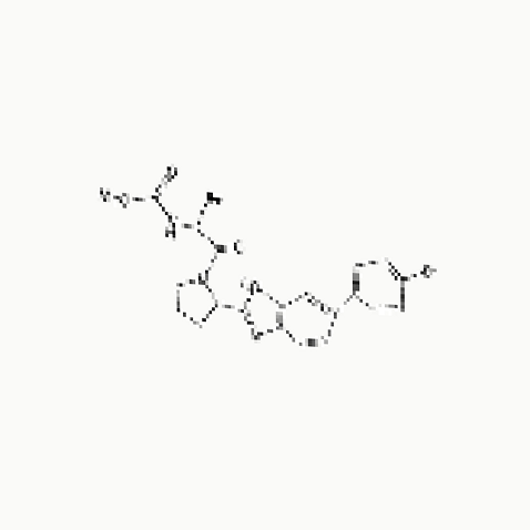 COC(=O)NC(C(=O)N1CCCC1c1nc2ccc(-c3ccc(Br)cc3)cc2[nH]1)C(C)C